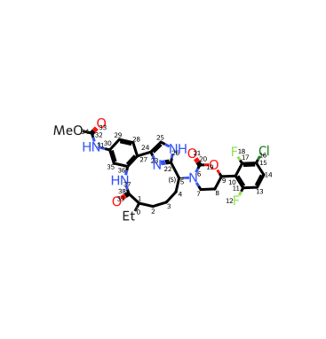 CCC1CCC[C@H](N2CCC(c3c(F)ccc(Cl)c3F)OC2=O)c2nc(c[nH]2)-c2ccc(NC(=O)OC)cc2NC1=O